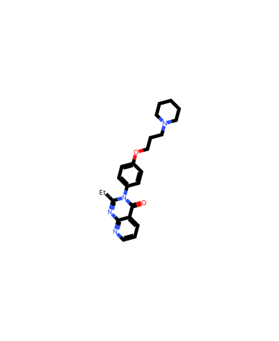 CCc1nc2ncccc2c(=O)n1-c1ccc(OCCCN2CCCCC2)cc1